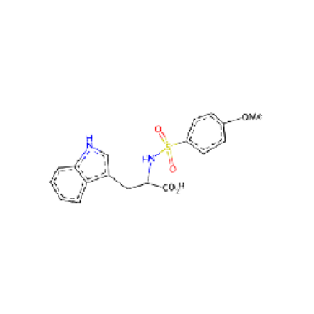 COc1ccc(S(=O)(=O)NC(Cc2c[nH]c3ccccc23)C(=O)O)cc1